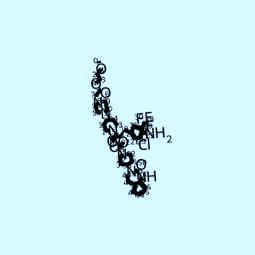 COCCOC(=O)CN1CCN(C2CCN(C(=O)[C@@H](Cc3cc(Cl)c(N)c(C(F)(F)F)c3)OC(=O)N3CCC(N4CCc5ccccc5NC4=O)CC3)CC2)CC1